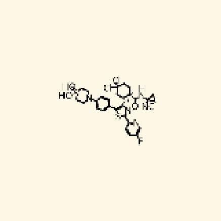 N#CC1(NC(=O)[C@@H]2CCC(Cl)(Cl)C[C@H]2c2nc(-c3ccc(F)cn3)sc2-c2ccc(N3CCS(O)(O)CC3)cc2)CC1